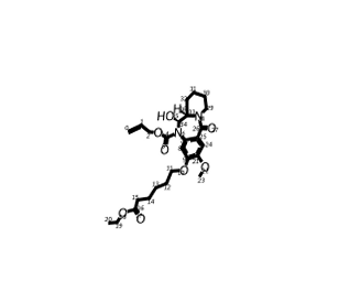 C=CCOC(=O)N1c2cc(OCCCCCC(=O)OCC)c(OC)cc2C(=O)N2CCCC[C@H]2[C@@H]1O